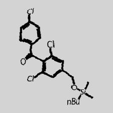 CCCC[Si](C)(C)OCc1cc(Cl)c(C(=O)c2ccc(Cl)cc2)c(Cl)c1